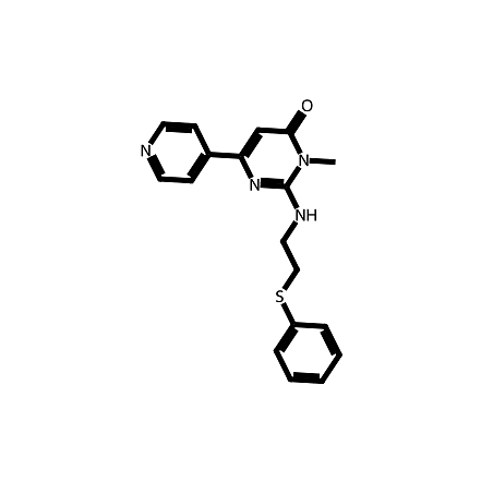 Cn1c(NCCSc2ccccc2)nc(-c2ccncc2)cc1=O